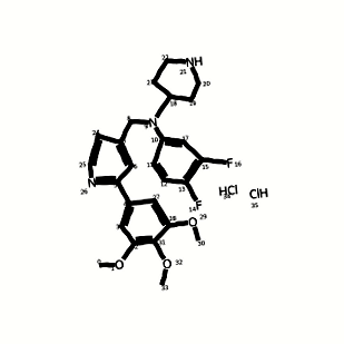 COc1cc(-c2cc(CN(c3ccc(F)c(F)c3)C3CCNCC3)ccn2)cc(OC)c1OC.Cl.Cl